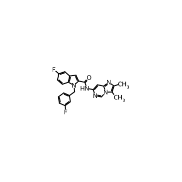 Cc1nc2cc(NC(=O)c3cc4cc(F)ccc4n3Cc3cccc(F)c3)ncn2c1C